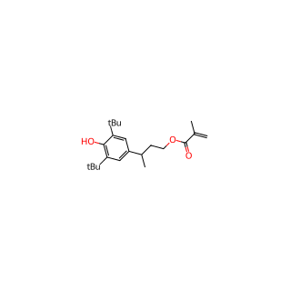 C=C(C)C(=O)OCCC(C)c1cc(C(C)(C)C)c(O)c(C(C)(C)C)c1